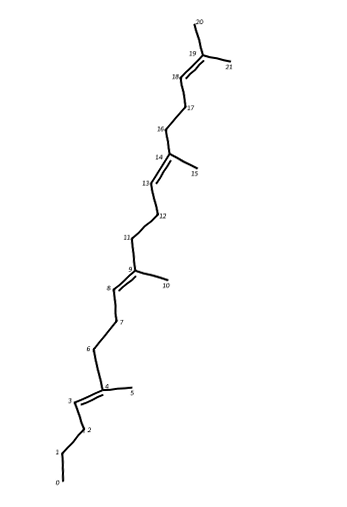 CC[CH]/C=C(\C)CC/C=C(\C)CC/C=C(\C)CCC=C(C)C